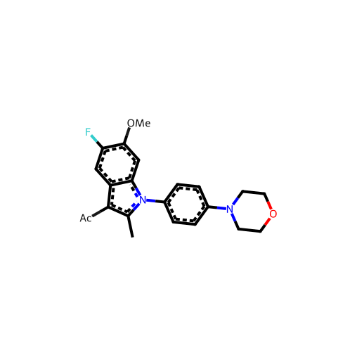 COc1cc2c(cc1F)c(C(C)=O)c(C)n2-c1ccc(N2CCOCC2)cc1